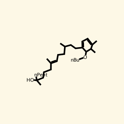 CCCCCC(C)(O)CCC/C(C)=C/CCC(C)CCC1=CC=C(C)C(C)C1OCCCC